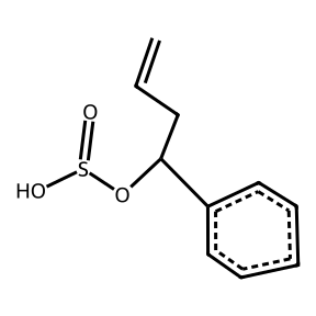 C=CCC(OS(=O)O)c1ccccc1